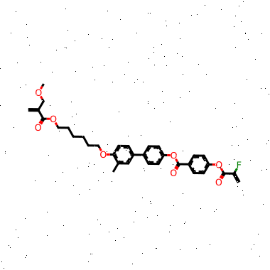 C=C(F)C(=O)Oc1ccc(C(=O)Oc2ccc(-c3ccc(OCCCCCCOC(=O)C(=C)COC)c(C)c3)cc2)cc1